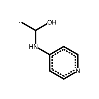 [CH2]C(O)Nc1ccncc1